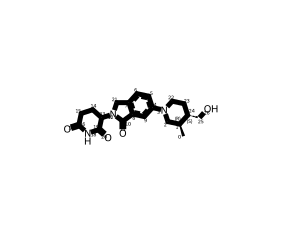 C[C@H]1CN(c2ccc3c(c2)C(=O)N(C2CCC(=O)NC2=O)C3)CC[C@@H]1CO